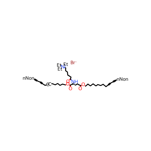 CCCCCCCCCC#CC#CCCCCCCCCCOC(=O)CC[C@H](NC(=O)CCCCC[N+](CC)(CC)CC)C(=O)OCCCCCCCCCC#CC#CCCCCCCCCC.[Br-]